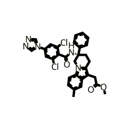 COC(=O)Cc1c2n(c3ccc(C)cc13)C[C@@](NC(=O)c1c(Cl)cc(-n3cnnc3)cc1Cl)(c1ccccc1)CC2